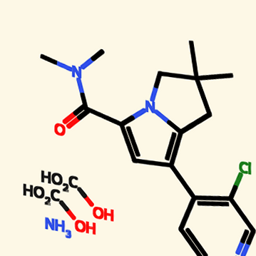 CN(C)C(=O)c1cc(-c2ccncc2Cl)c2n1CC(C)(C)C2.N.O=C(O)O.O=C(O)O